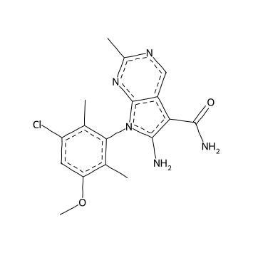 COc1cc(Cl)c(C)c(-n2c(N)c(C(N)=O)c3cnc(C)nc32)c1C